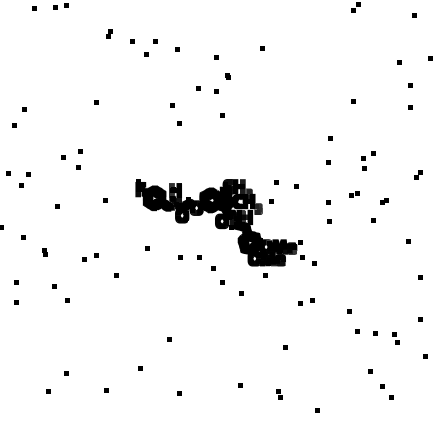 COc1ccc(CCNC(=O)c2c(C)n(C)c3ccc(OCC(=O)NCc4ccc(F)cc4)cc23)cc1OC